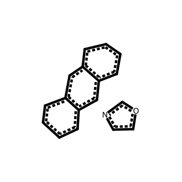 c1ccc2cc3ccccc3cc2c1.c1cocn1